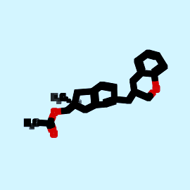 CC(=O)OC[C@@]1(C)Cc2ccc(CC3COc4ccccc4C3)cc2C1